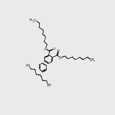 CCCCCCCCOC(=O)c1ccccc1C(=O)OCCCCCCCC.OCCCCCCO.c1ccccc1